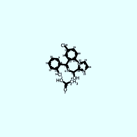 CC(=O)O.OC1N=C(c2ccccc2Cl)c2cc(Cl)ccc2-n2ccnc21